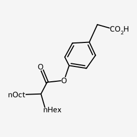 CCCCCCCCC(CCCCCC)C(=O)Oc1ccc(CC(=O)O)cc1